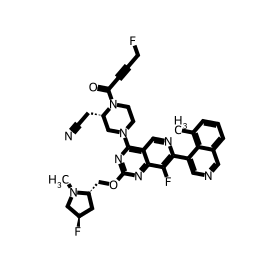 Cc1cccc2cncc(-c3ncc4c(N5CCN(C(=O)C#CCF)[C@@H](CC#N)C5)nc(OC[C@@H]5C[C@@H](F)CN5C)nc4c3F)c12